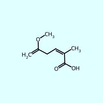 C=C(CC=C(C)C(=O)O)OC